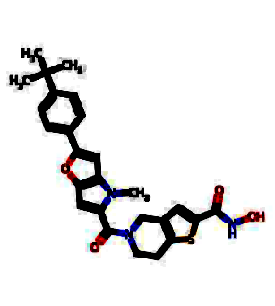 Cn1c(C(=O)N2CCc3sc(C(=O)NO)cc3C2)cc2oc(-c3ccc(C(C)(C)C)cc3)cc21